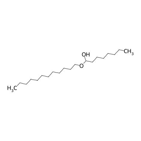 CCCCCCCCCCCCOC(O)CCCCCCC